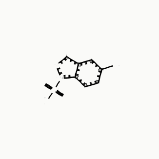 CC(C)(C)c1ccc2c(cnn2S(C)(=O)=O)c1